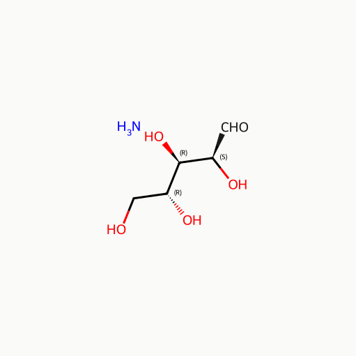 N.O=C[C@@H](O)[C@H](O)[C@H](O)CO